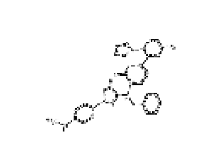 O=C(O)Nc1ccc(-c2c[nH]c([C@H](Cc3ccccc3)n3ccc(-c4cc(Cl)ccc4-n4cnnn4)cc3=O)n2)cc1